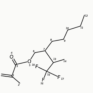 C=C(C)C(=O)OCC(CCCCC)C(C)C(F)(F)F